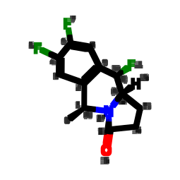 C[C@H]1c2cc(F)c(F)cc2[C@@H](F)[C@@H]2CCC(=O)N12